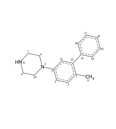 Cc1ccc(N2CCNCC2)cc1-c1ccccc1